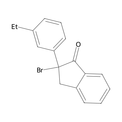 CCc1cccc(C2(Br)Cc3ccccc3C2=O)c1